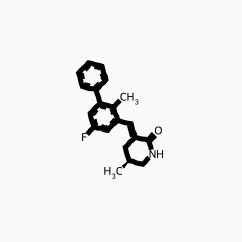 Cc1c(/C=C2\C[C@H](C)CNC2=O)cc(F)cc1-c1ccccc1